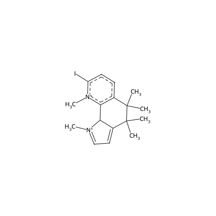 C[N+]1=CC=C2C1c1c(ccc(I)[n+]1C)C(C)(C)C2(C)C